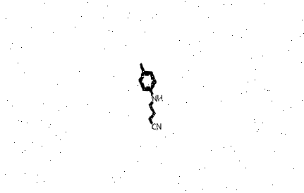 Cc1ccc(NCCCC#N)cc1